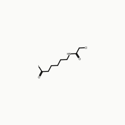 O=C(I)CCCCCNC(=O)CCl